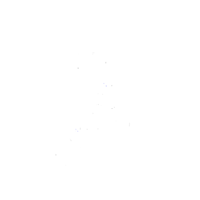 CC(C)(C)c1cc(-c2nc3ccccc3o2)cc(-c2nc3ccccc3o2)c1